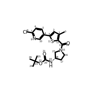 Cc1cc(-c2ccc(Cl)nc2)sc1C(=O)N1CC[C@H](NC(=O)OC(C)(C)C)C1